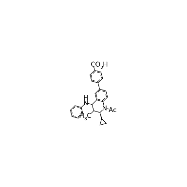 CC(=O)N1c2ccc(-c3ccc(C(=O)O)cc3)cc2C(Nc2ccccc2)C(C)[C@@H]1C1CC1